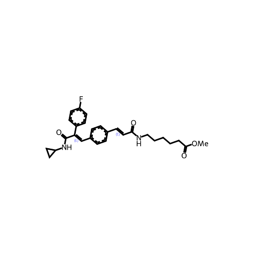 COC(=O)CCCCCNC(=O)/C=C/c1ccc(/C=C(/C(=O)NC2CC2)c2ccc(F)cc2)cc1